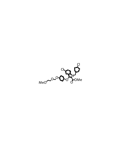 COCCOCOc1ccc(Oc2c(C(=O)OC)n(Cc3ccc(Cl)cc3)c3ccc(Cl)cc23)cc1